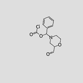 O=CC1CN(C(OC(=O)Cl)c2ccccc2)CCO1